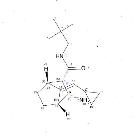 CC(C)(C)CNC(=O)[C@@H]1[C@H](N)[C@@H]2CC[C@H]1/C2=C/C1CC1